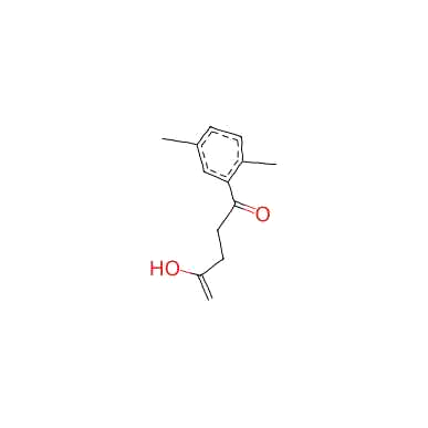 C=C(O)CCC(=O)c1cc(C)ccc1C